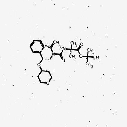 C=C(S)N(C[C@H](OC1CCOCC1)c1ccccc1)C(=O)NC(C)(C)C(=O)OC(C)(C)C